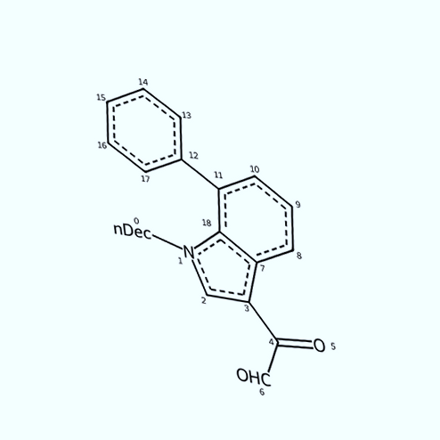 CCCCCCCCCCn1cc(C(=O)C=O)c2cccc(-c3ccccc3)c21